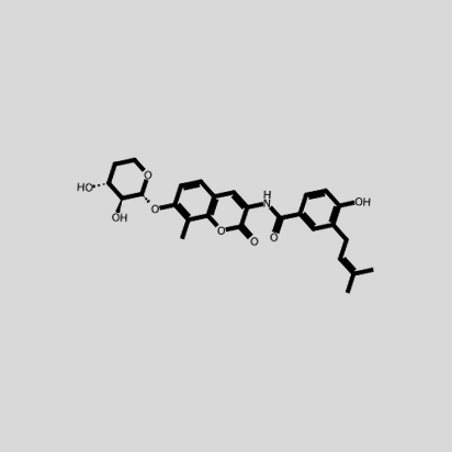 CC(C)=CCc1cc(C(=O)Nc2cc3ccc(O[C@H]4OCC[C@@H](O)[C@@H]4O)c(C)c3oc2=O)ccc1O